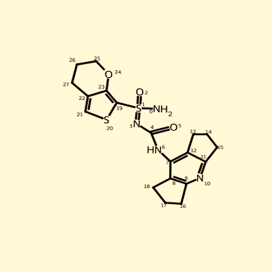 NS(=O)(=NC(=O)Nc1c2c(nc3c1CCC3)CCC2)c1scc2c1OCCC2